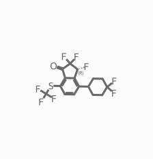 O=C1c2c(SC(F)(F)F)ccc(C3CCC(F)(F)CC3)c2[C@@H](F)C1(F)F